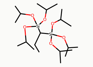 CCC([Si](OC(C)C)(OC(C)C)OC(C)C)[Si](OC(C)C)(OC(C)C)OC(C)C